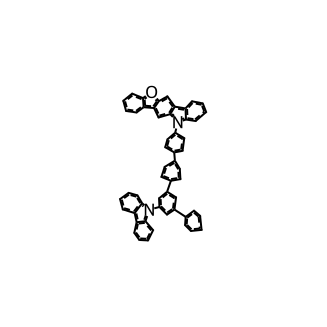 c1ccc(-c2cc(-c3ccc(-c4ccc(-n5c6ccccc6c6cc7oc8ccccc8c7cc65)cc4)cc3)cc(-n3c4ccccc4c4ccccc43)c2)cc1